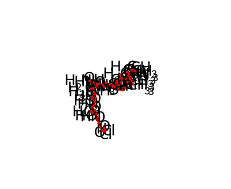 CC[C@H](C)C(C(CC(=O)N1CCCC1C(OC)C(C)C(=O)N[C@@H](Cc1ccccc1)C(=O)NCCc1ccc(NC(=O)C(CCCNC(N)=O)NC(=O)[C@H](NC(=O)C[C@@H]2O[C@H](CNC(=O)CC3OC(CNC(=O)CCCCCN4C(=O)C(Cl)=C(Cl)C4=O)[C@@H](O)[C@H]3O)C(O)C2O)C(C)C)cc1)OC)N(C)C(=O)[C@@H](NC(=O)C(C(C)C)N(C)C)C(C)C